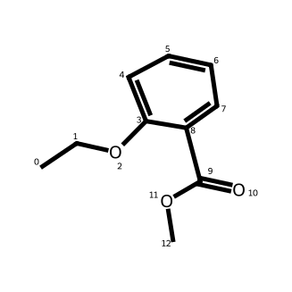 CCOc1ccccc1C(=O)OC